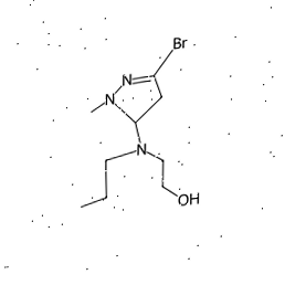 CCCN(CCO)C1CC(Br)=NN1C